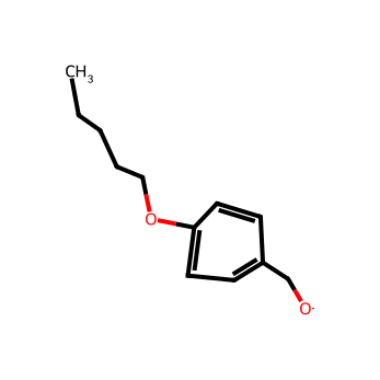 CCCCCOc1ccc(C[O])cc1